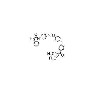 CCN(CC)C(=O)c1ccc(Cc2ccc(OCCN3CCC(n4c(=O)[nH]c5ccccc54)CC3)cc2)cc1